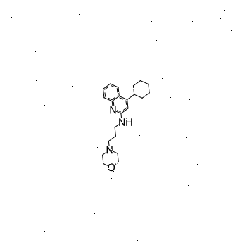 c1ccc2c(C3CCCCC3)cc(NCCCN3CCOCC3)nc2c1